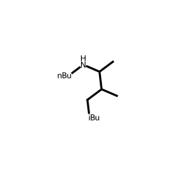 CCCCNC(C)C(C)CC(C)CC